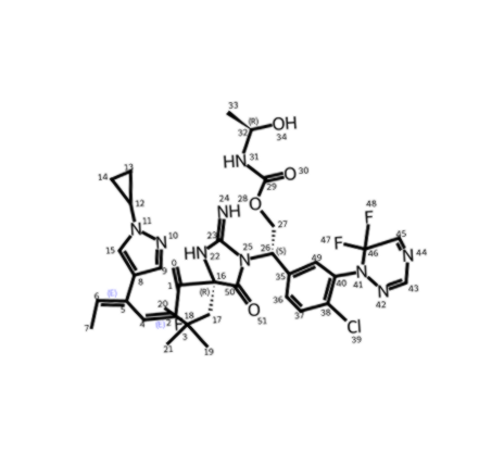 C=C(/C(F)=C\C(=C/C)c1cnn(C2CC2)c1)[C@@]1(CC(C)(C)C)NC(=N)N([C@H](COC(=O)N[C@@H](C)O)c2ccc(Cl)c(N3N=CN=CC3(F)F)c2)C1=O